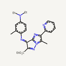 CCOC(=O)C1=Nn2c(nc(-c3ccccn3)c2C)/C1=N\c1ccc(N(CC)CC)cc1C